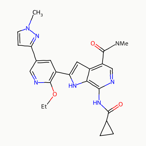 CCOc1ncc(-c2ccn(C)n2)cc1-c1cc2c(C(=O)NC)cnc(NC(=O)C3CC3)c2[nH]1